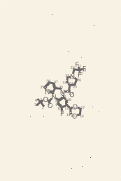 CC(C)(C)OC(=O)N1c2cc(F)c(C3COCCO3)cc2N(C(=O)C2CCN(CC(F)(F)F)CC2)Cc2cccnc21